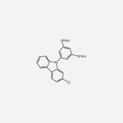 CCCCCCc1cc(CCCCCC)cc(-n2c3ccccc3c3ccc(Cl)cc32)c1